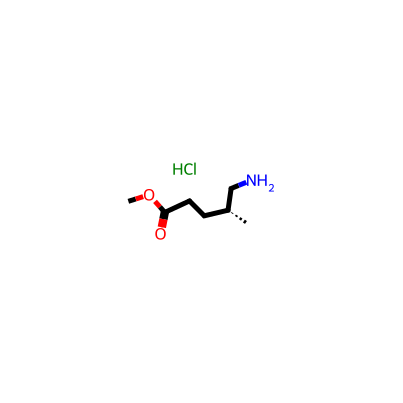 COC(=O)CC[C@@H](C)CN.Cl